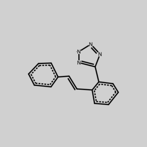 C(=Cc1ccccc1C1=N[N]N=N1)c1ccccc1